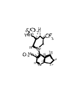 O=C(O)NC1CC(C(F)(F)F)CN(c2c([N+](=O)[O-])cnc3c2CCC3)C1